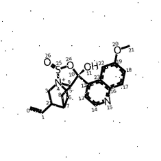 C=CC1C[N+]23CCC1CC2[C@@](O)(c1ccnc2ccc(OC)cc12)OS3=O